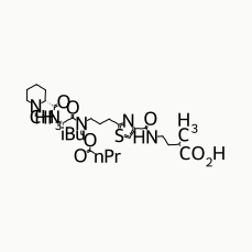 CCCC(=O)OCN(CCCc1nc(C(=O)NCC[C@H](C)C(=O)O)cs1)C(=O)[C@@H](NC(=O)[C@H]1CCCCN1C)[C@@H](C)CC